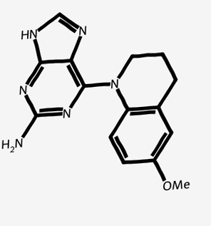 COc1ccc2c(c1)CCCN2c1nc(N)nc2[nH]cnc12